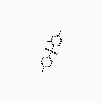 Cc1ccc(S(=O)(=O)c2ccc(C)cc2C)c(C)c1